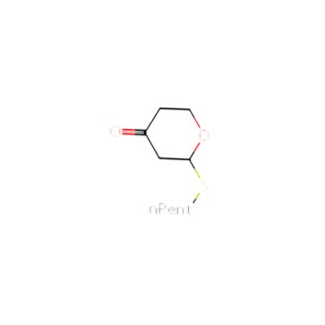 CCCCCSC1CC(=O)CCO1